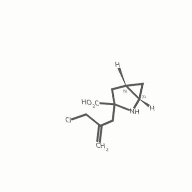 C=C(CCl)CC1(C(=O)O)C[C@@H]2C[C@@H]2N1